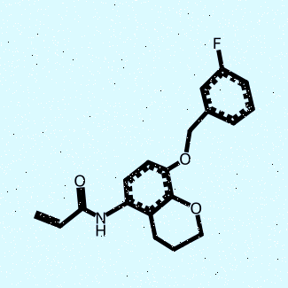 C=CC(=O)Nc1ccc(OCc2cccc(F)c2)c2c1CCCO2